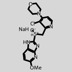 COc1ccc2[nH]c([S@@+]([O-])Cc3nccc(N4CCOCC4)c3Cl)nc2n1.[NaH]